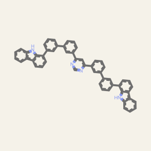 c1cc(-c2cccc(-c3cccc4c3[nH]c3ccccc34)c2)cc(-c2cc(-c3cccc(-c4cccc(-c5cccc6c5[nH]c5ccccc56)c4)c3)ncn2)c1